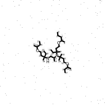 CCCC(C)OCCC(C)(CC)N(C(C)CNC(C)(CC)CCOC(C)CC)C(C)(C)CCOC(C)CC